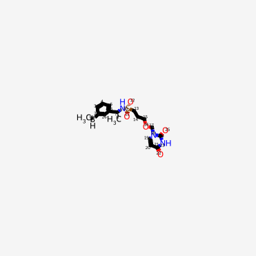 CBc1cccc([C@@H](C)NS(=O)(=O)CCCOCn2ccc(=O)[nH]c2=O)c1